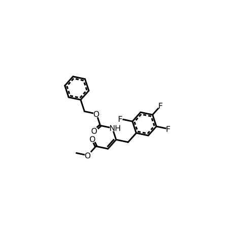 COC(=O)/C=C(/Cc1cc(F)c(F)cc1F)NC(=O)OCc1ccccc1